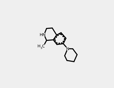 CC1NCCc2ccc(N3CCCCC3)cc21